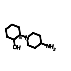 NC1CCN([C@@H]2CCCCC2O)CC1